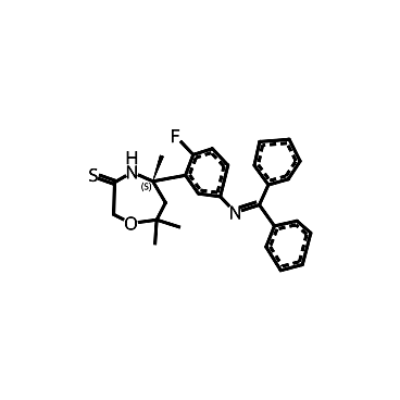 CC1(C)C[C@@](C)(c2cc(N=C(c3ccccc3)c3ccccc3)ccc2F)NC(=S)CO1